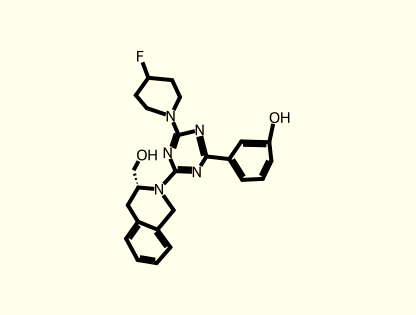 OC[C@H]1Cc2ccccc2CN1c1nc(-c2cccc(O)c2)nc(N2CCC(F)CC2)n1